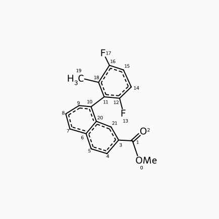 COC(=O)c1ccc2cccc(-c3c(F)ccc(F)c3C)c2c1